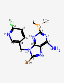 CC[P@@](C)c1nc(N)c2nc(Br)n(Cc3ccc(Cl)nc3)c2n1